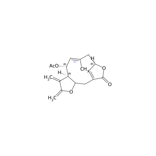 C=C1OC2CC3=C[C@@H](C/C(C)=C/[C@@H](OC(C)=O)[C@@H]2C1=C)OC3=O